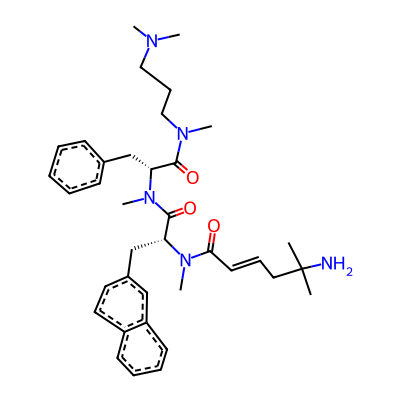 CN(C)CCCN(C)C(=O)[C@@H](Cc1ccccc1)N(C)C(=O)[C@@H](Cc1ccc2ccccc2c1)N(C)C(=O)C=CCC(C)(C)N